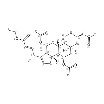 CCOC(=O)/C=C/[C@@H](C)C1=CC[C@H]2[C@@H]3[C@H](OC(C)=O)C[C@@H]4C[C@H](OC(C)=O)CC[C@]4(C)[C@H]3C[C@@H](OC(C)=O)[C@]12C